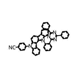 N#Cc1ccc(-n2c3ccccc3c3c2ccc2c4ccccc4n(-c4ccccc4-c4nc(-c5ccccc5)nc(-c5ccccc5)n4)c23)cc1